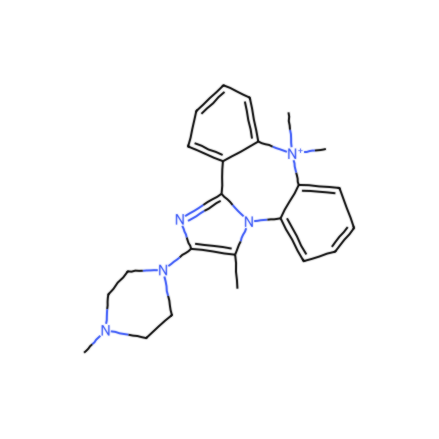 Cc1c(N2CCN(C)CC2)nc2n1-c1ccccc1[N+](C)(C)c1ccccc1-2